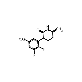 C=C1CCC(c2cc(C(C)(C)C)cc(F)c2F)C(=O)N1